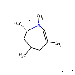 CC1=CN(C)[C@@H](C)CC(C)C1